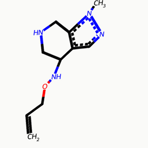 C=CCONC1CNCc2c1cnn2C